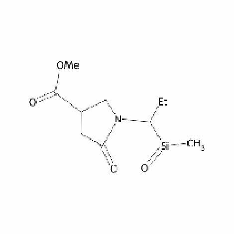 CCC(N1CC(C(=O)OC)CC1=O)[Si](C)=O